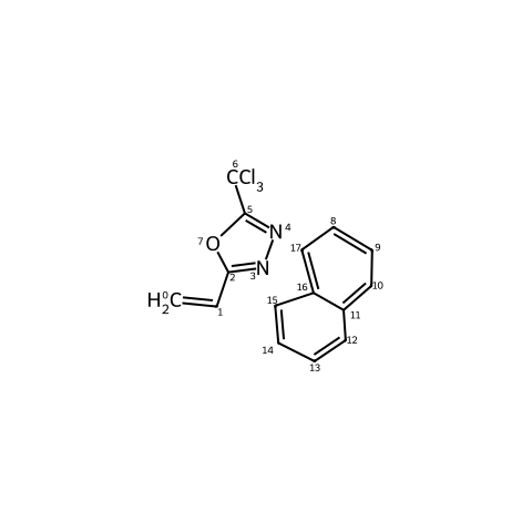 C=Cc1nnc(C(Cl)(Cl)Cl)o1.c1ccc2ccccc2c1